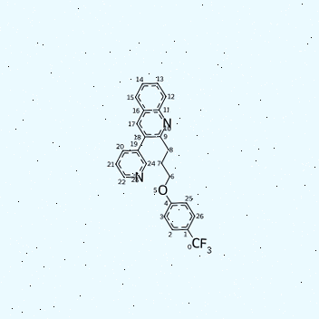 FC(F)(F)c1ccc(OCCCc2nc3ccccc3cc2-c2cccnc2)cc1